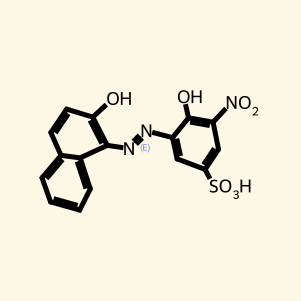 O=[N+]([O-])c1cc(S(=O)(=O)O)cc(/N=N/c2c(O)ccc3ccccc23)c1O